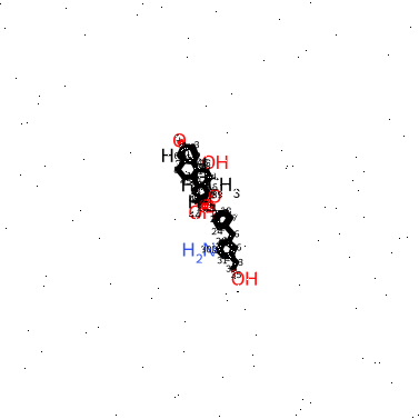 C[C@]12C=CC(=O)C=C1CC[C@@H]1[C@@H]2[C@@H](O)C[C@@]2(C)[C@H]1C[C@H]1O[C@@H](c3ccc(Cc4cc(N)cc(CCO)c4)cc3)O[C@]12C(=O)CO